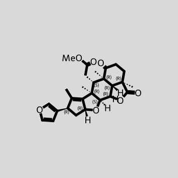 COC(=O)C[C@H]1[C@]2(C)C3=C(C)[C@H](c4ccoc4)C[C@H]3O[C@@H]2[C@@H]2OC(=O)[C@]3(C)CCC(=O)[C@@]1(C)[C@@H]23